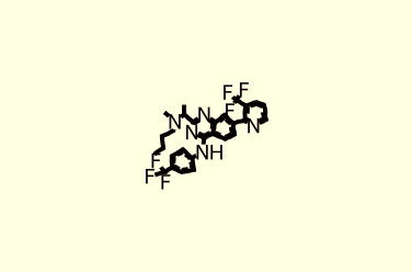 CCCCN(C)C(C)c1nc(Nc2ccc(C(F)(F)F)cc2)c2ccc(-c3ncccc3C(F)(F)F)cc2n1